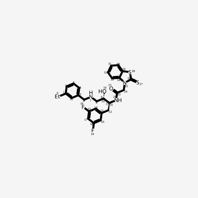 CCc1cccc(CNC[C@H](O)[C@H](Cc2cc(F)cc(F)c2)NC(=O)Cn2c(=S)sc3ccccc32)c1